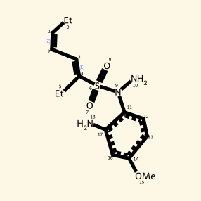 CC/C=C\C=C(/CC)S(=O)(=O)N(N)c1ccc(OC)cc1N